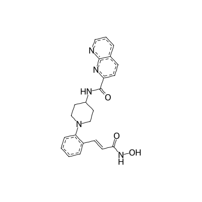 O=C(/C=C/c1ccccc1N1CCC(NC(=O)c2ccc3cccnc3n2)CC1)NO